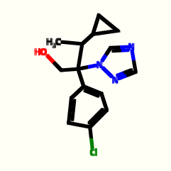 CC(C1CC1)C(CO)(c1ccc(Cl)cc1)n1cncn1